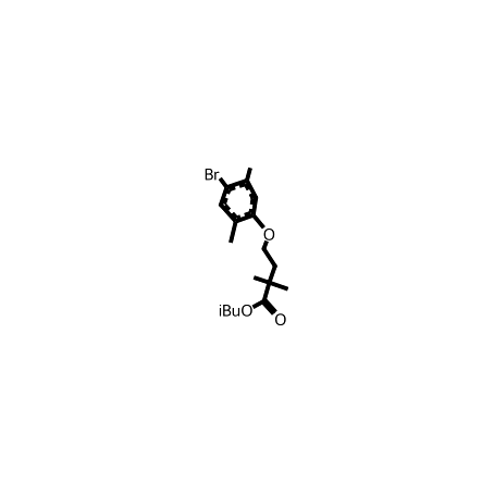 Cc1cc(OCCC(C)(C)C(=O)OCC(C)C)c(C)cc1Br